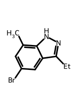 CCc1n[nH]c2c(C)cc(Br)cc12